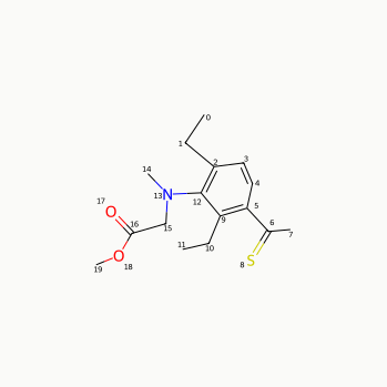 CCc1ccc(C(C)=S)c(CC)c1N(C)CC(=O)OC